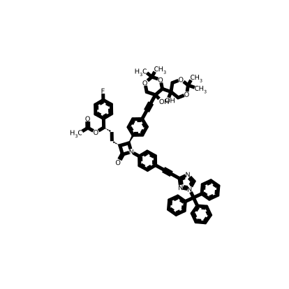 CC(=O)O[C@@H](CC[C@H]1C(=O)N(c2ccc(C#Cc3ncn(C(c4ccccc4)(c4ccccc4)c4ccccc4)n3)cc2)[C@@H]1c1ccc(C#CC2(O)COC(C)(C)OC2C2(O)COC(C)(C)OC2)cc1)c1ccc(F)cc1